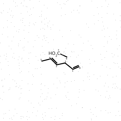 C=CCC=CC.CC(=O)O